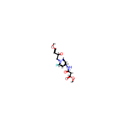 CO/C=C/C(=O)C[n+]1ccc(NC(=O)CC(=O)OC)cc1F